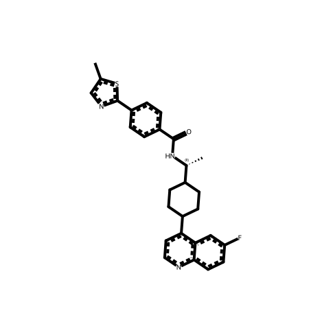 Cc1cnc(-c2ccc(C(=O)N[C@H](C)C3CCC(c4ccnc5ccc(F)cc45)CC3)cc2)s1